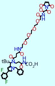 CC(C)(C)C(c1cc(-c2cc(F)ccc2F)cn1Cc1ccccc1)N(CCC(=O)NC(=O)O)C(=O)CCC(=O)NCCOCCOCCOCCOCC(=O)NC(=O)C(=O)N1C(=O)C=CC1=O